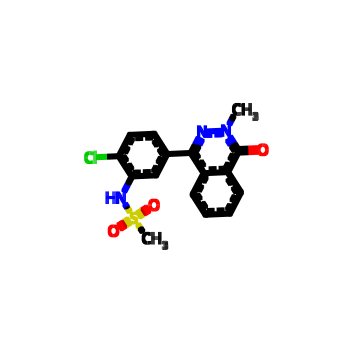 Cn1nc(-c2ccc(Cl)c(NS(C)(=O)=O)c2)c2ccccc2c1=O